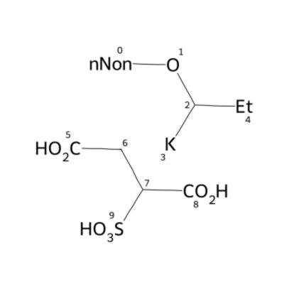 CCCCCCCCCO[CH]([K])CC.O=C(O)CC(C(=O)O)S(=O)(=O)O